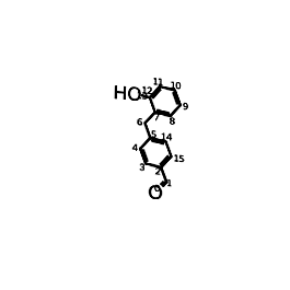 O=Cc1ccc(Cc2ccccc2O)cc1